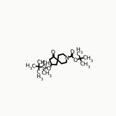 CC(C)(C)OC(=O)N1CCC2(CC1)C[C@@H](O[Si](C)(C)C(C)(C)C)CC2=O